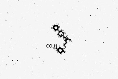 Cc1ccc(CC(=O)O)cc1OCCc1nc(N2CC=C(c3ccccc3)CC2)sc1C